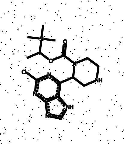 CC(OC(=O)N1CCNCC1c1nc(Cl)nc2nc[nH]c12)[Si](C)(C)C